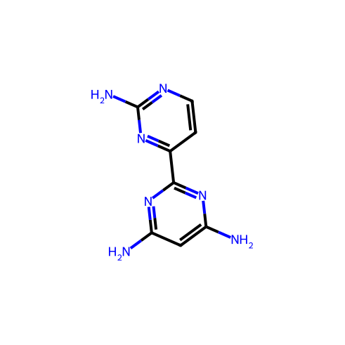 Nc1cc(N)nc(-c2ccnc(N)n2)n1